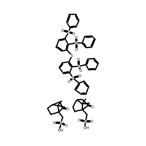 CC1(C)C2CCC1(CS(=O)(=O)O)C(=O)C2.CC1(C)C2CCC1(CS(=O)(=O)O)C(=O)C2.O=S(=O)(c1ccccc1)c1cccc(Sc2cccc(S(=O)(=O)c3ccccc3)c2S(=O)(=O)c2ccccc2)c1S(=O)(=O)c1ccccc1